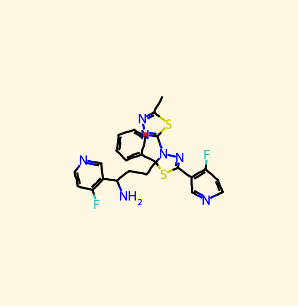 Cc1nnc(N2N=C(c3cnccc3F)SC2(CCC(N)c2cnccc2F)c2ccccc2)s1